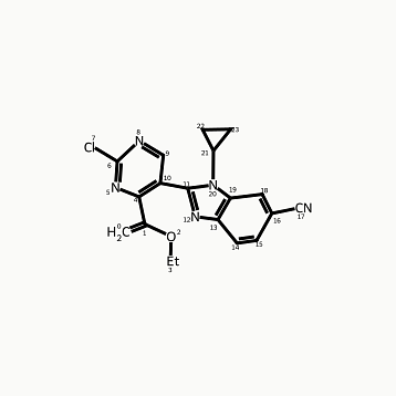 C=C(OCC)c1nc(Cl)ncc1-c1nc2ccc(C#N)cc2n1C1CC1